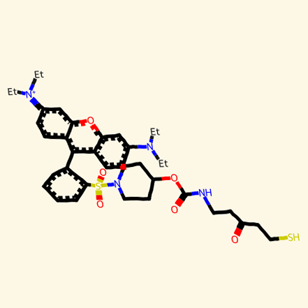 CCN(CC)c1ccc2c(-c3ccccc3S(=O)(=O)N3CCC(OC(=O)NCCC(=O)CCS)CC3)c3ccc(=[N+](CC)CC)cc-3oc2c1